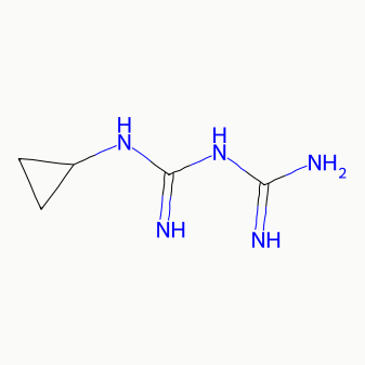 N=C(N)NC(=N)NC1CC1